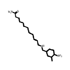 CC1CC(CNCCCCCCCCCCCC(N)=O)CCC1N